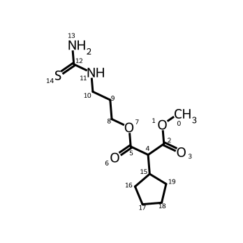 COC(=O)C(C(=O)OCCCNC(N)=S)C1CCCC1